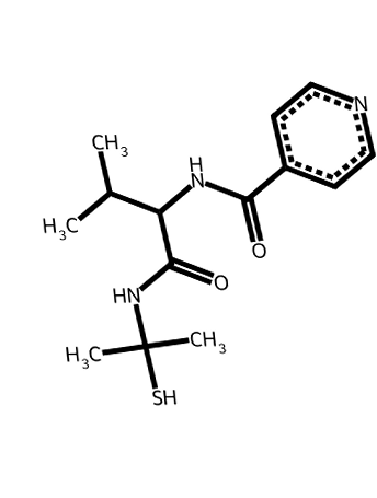 CC(C)C(NC(=O)c1ccncc1)C(=O)NC(C)(C)S